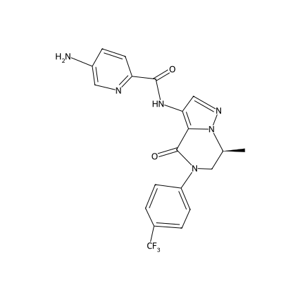 C[C@H]1CN(c2ccc(C(F)(F)F)cc2)C(=O)c2c(NC(=O)c3ccc(N)cn3)cnn21